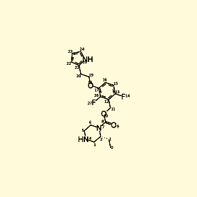 CC[C@@H]1CNCCN1C(=O)OCc1c(F)ccc(OCCc2ccc[nH]2)c1F